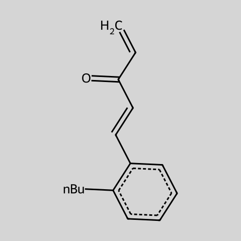 C=CC(=O)C=Cc1ccccc1CCCC